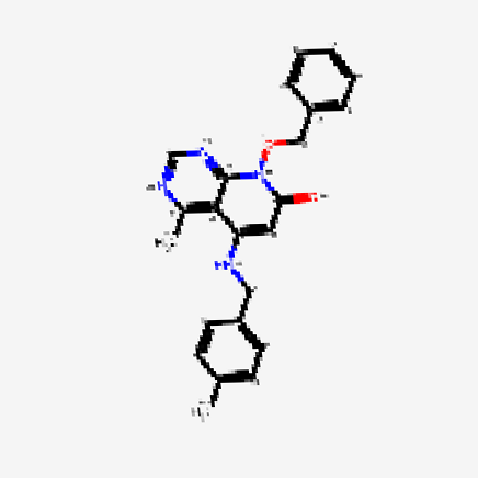 Cc1ccc(CNc2cc(=O)n(OCc3ccccc3)c3ncnc(C)c23)cc1